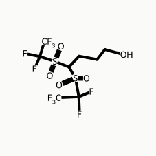 O=S(=O)(C(CCCO)S(=O)(=O)C(F)(F)C(F)(F)F)C(F)(F)C(F)(F)F